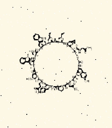 CCCC[C@H]1C(=O)N(C)[C@@H](CCCC)C(=O)N[C@@H](CC2CC2)C(=O)N[C@H](C(=O)NCC(N)=O)CSCC(=O)NC(Cc2ccc(O)cc2)C(=O)N(C)[C@@H](C)C(=O)N[C@@H](CC(N)=O)C(=O)N2CCC[C@H]2C(=O)N[C@@H](Cc2c[nH]cn2)C(=O)N[C@@H](CCC(N)=O)C(=O)N2C[C@H](O)C[C@H]2C(=O)N[C@@H](Cc2c[nH]c3ccccc23)C(=O)N[C@@H](CO)C(=O)N[C@@H](Cc2c[nH]c3ccccc23)C(=O)N1C